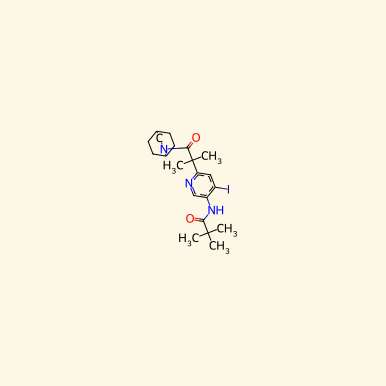 CC(C)(C)C(=O)Nc1cnc(C(C)(C)C(=O)N2CC3CCC2CC3)cc1I